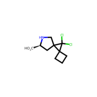 O=C(O)[C@@H]1CC2(CN1)C(Cl)(Cl)C21CCC1